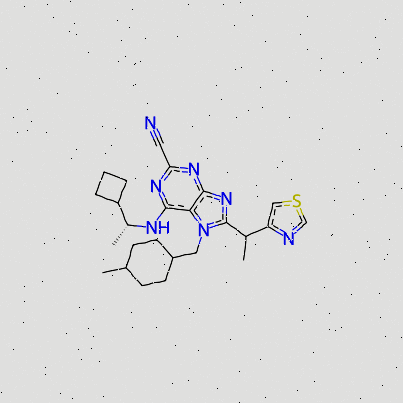 CC1CCC(Cn2c(C(C)c3cscn3)nc3nc(C#N)nc(N[C@H](C)C4CCC4)c32)CC1